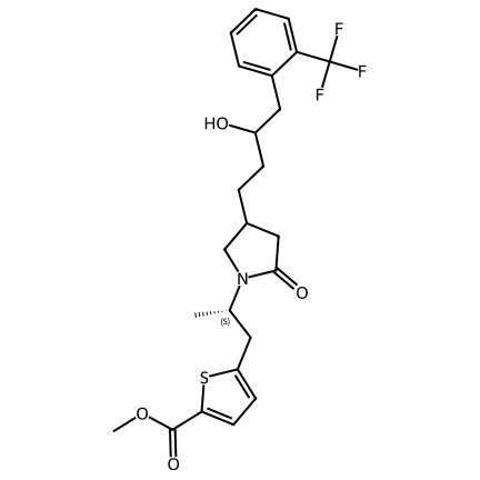 COC(=O)c1ccc(C[C@H](C)N2CC(CCC(O)Cc3ccccc3C(F)(F)F)CC2=O)s1